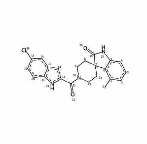 Cc1cccc2c1C1(CCN(C(=O)c3cc4cc(Cl)ccc4[nH]3)CC1)C(=O)N2